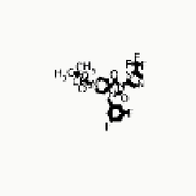 CC(C)(C)OC(=O)N1CCC2(CC1)C(=O)N(c1cncc(C(F)(F)F)n1)C(=O)N2Cc1cc(F)cc(F)c1